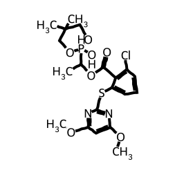 COc1cc(OC)nc(Sc2cccc(Cl)c2C(=O)OC(C)[PH]2(O)OCC(C)(C)CO2)n1